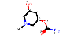 CC(C)(C)N1C[C@@H](O)C[C@@H](OC(N)=O)C1